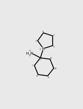 NC1(N2CCCC2)CCCCC1